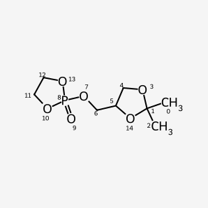 CC1(C)OCC(COP2(=O)OCCO2)O1